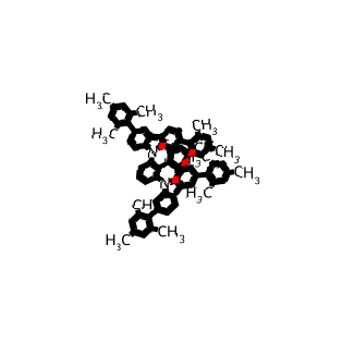 Cc1cc(C)c(-c2ccc3c(c2)c2ccc(-c4c(C)cc(C)cc4C)cc2n3-c2cccc(-n3c4ccc(-c5c(C)cc(C)cc5C)cc4c4ccc(-c5c(C)cc(C)cc5C)cc43)c2-c2c(F)cc(C#N)cc2F)c(C)c1